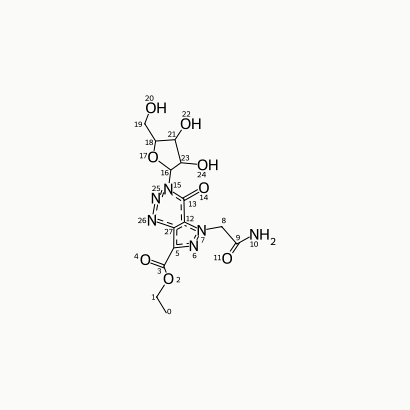 CCOC(=O)c1nn(CC(N)=O)c2c(=O)n(C3OC(CO)C(O)C3O)nnc12